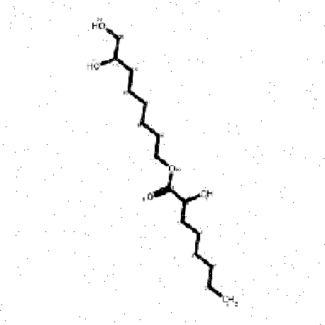 CCCCCCC(O)C(=O)OCCCCCCC(O)CO